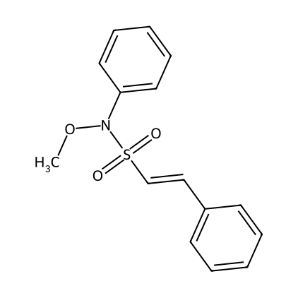 CON(c1ccccc1)S(=O)(=O)C=Cc1ccccc1